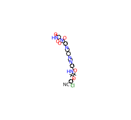 CC1(C)[C@H](NC(=O)c2ccc(N3CCN(C4CCC5(CC4)CCN(c4ccc6c(c4)C(=O)N(C4CCC(=O)NC4=O)C6=O)CC5)CC3)cc2)C(C)(C)[C@H]1Oc1ccc(C#N)c(Cl)c1